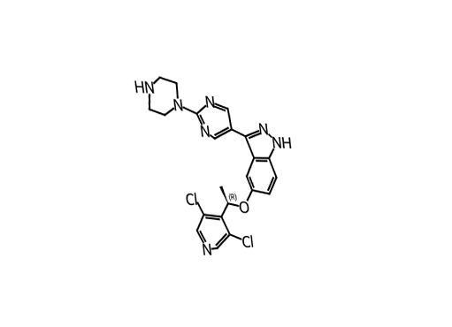 C[C@@H](Oc1ccc2[nH]nc(-c3cnc(N4CCNCC4)nc3)c2c1)c1c(Cl)cncc1Cl